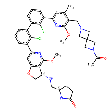 COc1nc(-c2cccc(-c3cccc(-c4cc5c(c(OC)n4)[C@H](NC[C@@H]4CCC(=O)N4)CO5)c3Cl)c2Cl)cc(C)c1CN1CC2(C1)CN(C(C)=O)C2